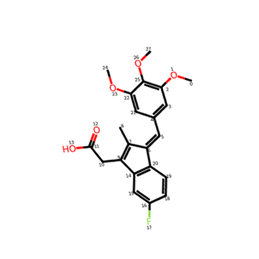 COc1cc(C=C2C(C)=C(CC(=O)O)c3cc(F)ccc32)cc(OC)c1OC